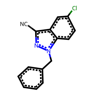 N#Cc1nn(Cc2ccccc2)c2ccc(Cl)cc12